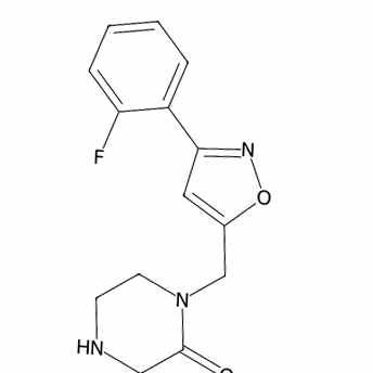 O=C1CNCCN1Cc1cc(-c2ccccc2F)no1